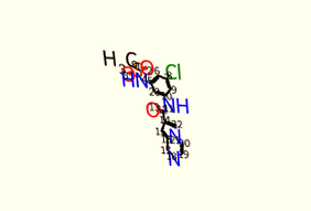 CS(=O)(=O)Nc1cc(Cl)cc(NC(=O)c2cc3cnccn3c2)c1